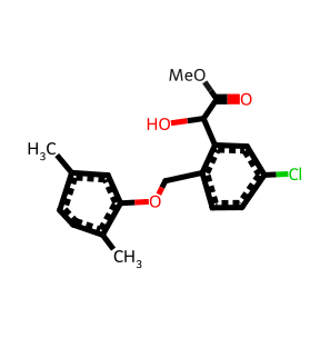 COC(=O)C(O)c1cc(Cl)ccc1COc1cc(C)ccc1C